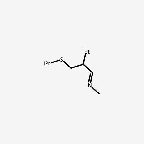 CCC(/C=N/C)CSC(C)C